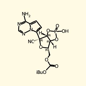 CC(C)COC(=O)OC[C@H]1O[C@@](C#N)(c2ccc3c(N)ncnn23)[C@@H]2OP(=O)(O)O[C@@H]21